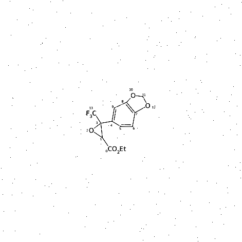 CCOC(=O)C1OC1(c1ccc2c(c1)OCO2)C(F)(F)F